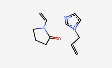 C=CCn1ccnc1.C=CN1CCCC1=O